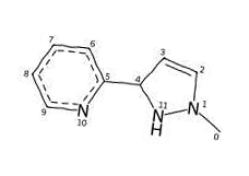 CN1C=CC(c2ccccn2)N1